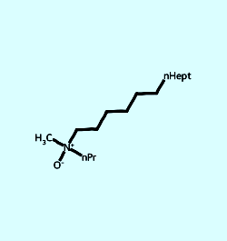 CCCCCCCCCCCCC[N+](C)([O-])CCC